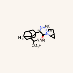 CNC(C(=O)O)C12CC3C[C@H](C1)CC([C@H](N)C(=O)N1C4CC4C[C@H]1C#N)(C3)C2